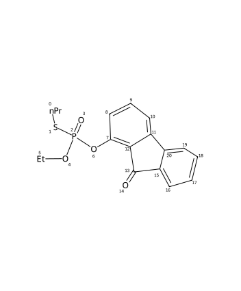 CCCSP(=O)(OCC)Oc1cccc2c1C(=O)c1ccccc1-2